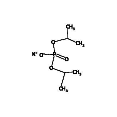 CC(C)OP(=O)([O-])OC(C)C.[K+]